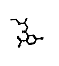 CCO[C@@H](C)CNc1cc(Br)ccc1[N+](=O)[O-]